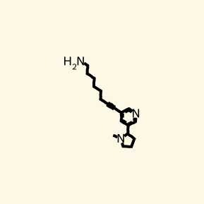 CN1CCCC1c1cncc(C#CCCCCCCN)c1